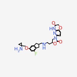 NC1(COc2cc(F)c3c(c2)CC(CNCCC2CN(c4ccc5c(n4)NC(=O)CO5)C(=O)O2)C3)CC1